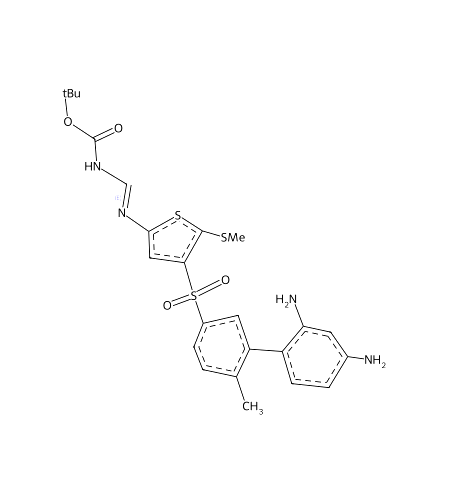 CSc1sc(/N=C/NC(=O)OC(C)(C)C)cc1S(=O)(=O)c1ccc(C)c(-c2ccc(N)cc2N)c1